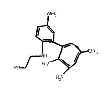 Cc1cc(N)c(C)c(-c2cc(N)ccc2NCCO)c1